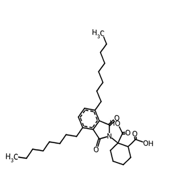 CCCCCCCCc1ccc(CCCCCCCC)c2c1C(=O)N(C1(C(=O)O)CCCCC1C(=O)O)C2=O